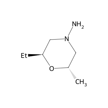 CC[C@H]1CN(N)C[C@H](C)O1